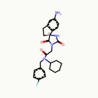 Nc1ccc2c(c1)CC[C@]21NC(=O)N(CC(=O)N(Cc2ccc(F)cc2)C2CC[C]CC2)C1=O